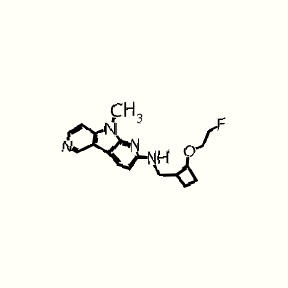 Cn1c2ccncc2c2ccc(NCC3CCC3OCCF)nc21